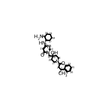 C[C@H](CC(=O)N1CCC(O)(Cn2cnc(NC3CCCC[C@H]3N)cc2=O)CC1)c1ccccc1